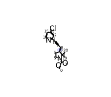 COC(=O)N1CC/C(=C\C#Cc2cc(Cl)ccn2)C1(C)C